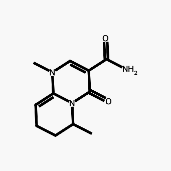 CC1CCC=C2N(C)C=C(C(N)=O)C(=O)N21